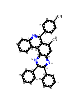 N#Cc1ccc(-c2nc3ccccc3c3c2c(C#N)cc2nc(-c4ccccc4)c(-c4ccccc4)nc23)cc1